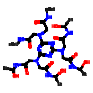 CCCCCCCCNC(=O)CN(CC(=O)NCCCCCCCC)c1nc(N(CC(=O)NC(O)CC)CC(=O)NC(O)CC)nc(N(CC(=O)NC(O)CC)CC(=O)NC(O)CC)n1